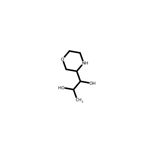 CC(O)C(O)C1COCCN1